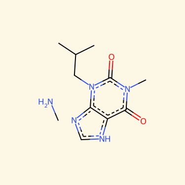 CC(C)Cn1c(=O)n(C)c(=O)c2[nH]cnc21.CN